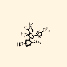 Cc1ccc(O)cc1-c1cc(-c2nc(C(F)(F)F)cs2)c2c(c1N)C(=O)NC2